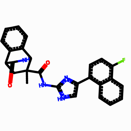 CC1(C(=O)Nc2nc(-c3ccc(F)c4ccccc34)c[nH]2)CC2C(=O)NC1c1ccccc12